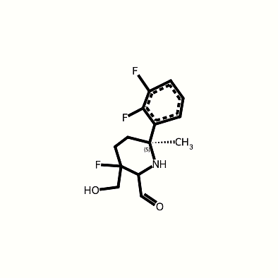 C[C@@]1(c2cccc(F)c2F)CCC(F)(CO)C(C=O)N1